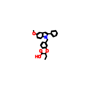 CCC(Oc1cccc(Cn2c(-c3ccccc3)cc3cc(OC)ccc32)c1)C(=O)O